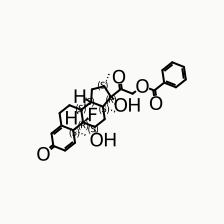 C[C@H]1C[C@H]2[C@@H]3CCC4=CC(=O)C=C[C@]4(C)[C@@]3(F)[C@@H](O)C[C@]2(C)[C@@]1(O)C(=O)COC(=O)c1ccccc1